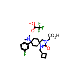 CN(C)[C@]1(c2cccc(F)c2)CC[C@@]2(CC1)CN(CC(=O)O)C(=O)N2CC1CCC1.O=C(O)C(F)(F)F